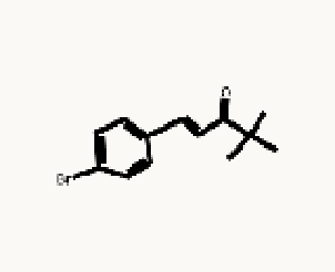 CC(C)(C)C(=O)/C=C/c1ccc(Br)cc1